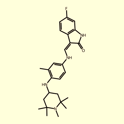 Cc1cc(NC=C2C(=O)Nc3cc(F)ccc32)ccc1NC1CC(C)(C)N(C)C(C)(C)C1